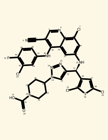 N#Cc1cnc2c(Cl)cc(N[C@H](c3cn(C4CCN(C(=O)O)CC4)nn3)c3cc(Cl)sc3Cl)cc2c1Nc1ccc(F)c(Cl)c1